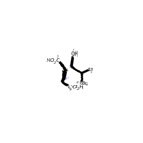 CCCCC(CC)CO.O=C(O)/C=C/C(=O)O